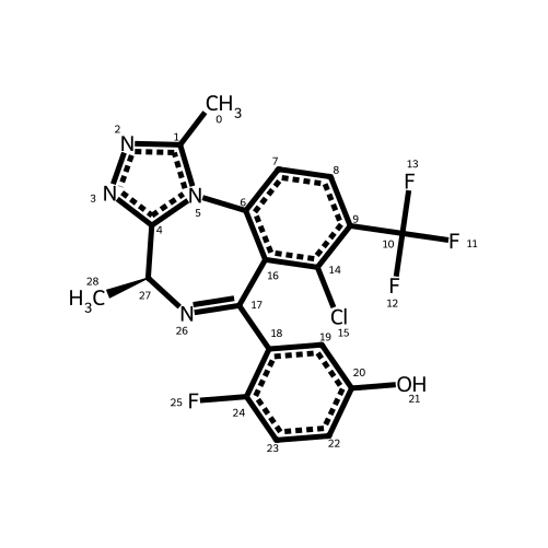 Cc1nnc2n1-c1ccc(C(F)(F)F)c(Cl)c1C(c1cc(O)ccc1F)=N[C@H]2C